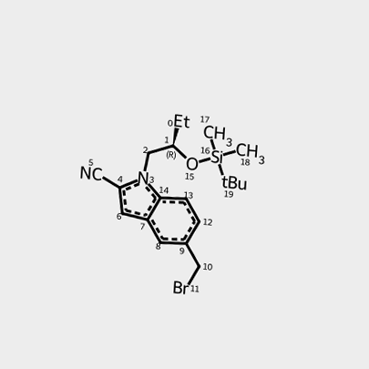 CC[C@H](Cn1c(C#N)cc2cc(CBr)ccc21)O[Si](C)(C)C(C)(C)C